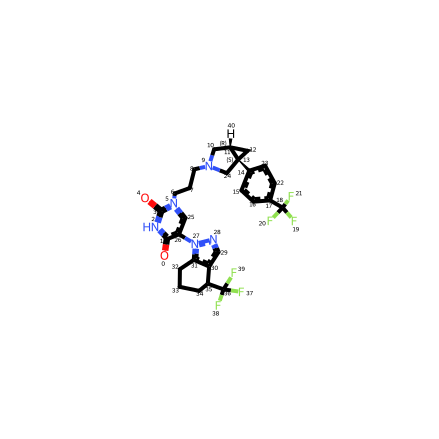 O=c1[nH]c(=O)n(CCCN2C[C@@H]3C[C@]3(c3ccc(C(F)(F)F)cc3)C2)cc1-n1ncc2c1CCCC2C(F)(F)F